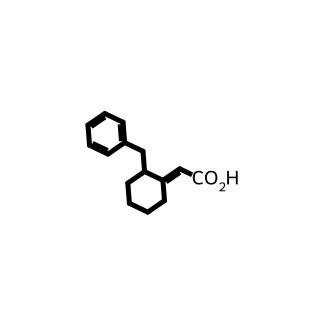 O=C(O)C=C1CCCCC1Cc1ccccc1